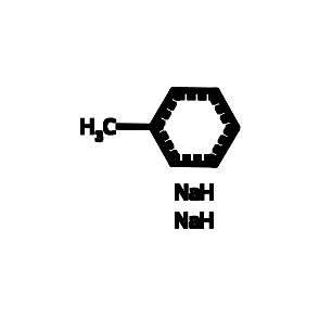 Cc1ccccc1.[NaH].[NaH]